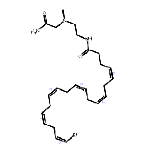 CC/C=C\C/C=C\C/C=C\C/C=C\C/C=C\C/C=C\CCC(=O)NCCN(C)CC(N)=O